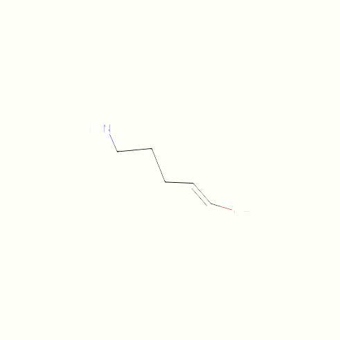 NCCCC=CO